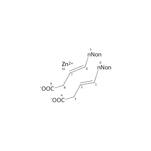 CCCCCCCCCC=CCC(=O)[O-].CCCCCCCCCC=CCC(=O)[O-].[Zn+2]